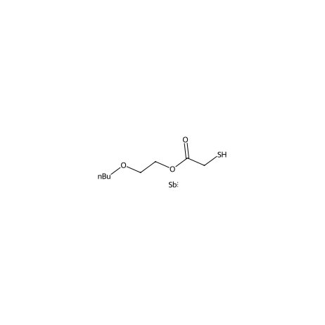 CCCCOCCOC(=O)CS.[Sb]